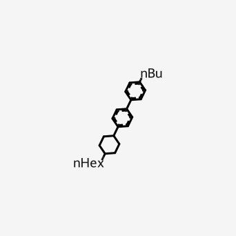 CCCCCCC1CCC(c2ccc(-c3ccc(CCCC)cc3)cc2)CC1